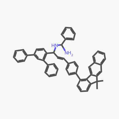 CC1(C)c2cc3ccccc3cc2-c2c(-c3ccc(/C=C/C(NC(N)c4ccccc4)c4ccc(-c5ccccc5)cc4-c4ccccc4)cc3)cccc21